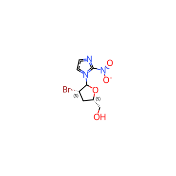 O=[N+]([O-])c1nccn1C1O[C@H](CO)C[C@@H]1Br